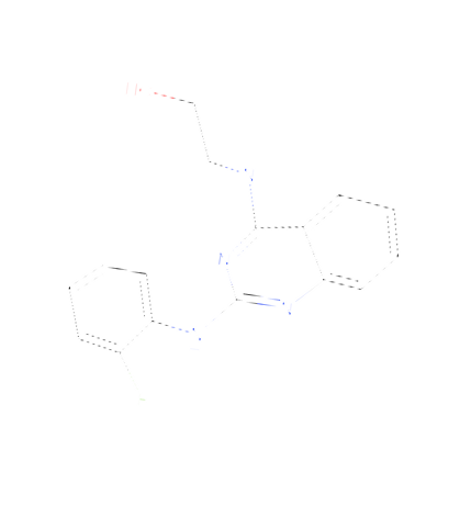 OCCNc1nc(Nc2ccccc2F)nc2ccccc12